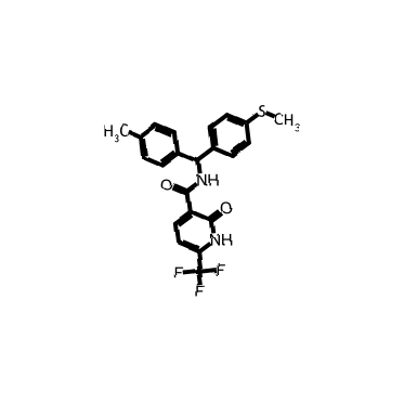 CSc1ccc(C(NC(=O)c2ccc(C(F)(F)F)[nH]c2=O)c2ccc(C)cc2)cc1